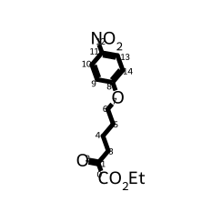 CCOC(=O)C(=O)CCCCOc1ccc([N+](=O)[O-])cc1